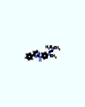 CN(C)CCN(C)c1ccc(Nc2nccc(-c3ccccc3)n2)cc1